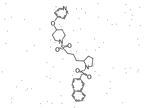 O=S(=O)(CCCC1CCCN1S(=O)(=O)c1ccc2ccccc2c1)N1CCC(Oc2ccncc2)CC1